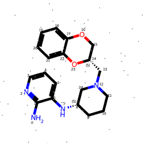 Nc1ncccc1N[C@H]1CCCN(C[C@H]2COc3ccccc3O2)C1